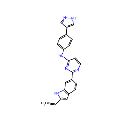 C=Cc1cc2ccc(-c3nccc(Nc4ccc(-c5cn[nH]c5)cc4)n3)cc2[nH]1